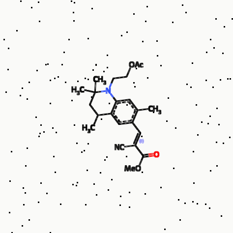 COC(=O)/C(C#N)=C/c1cc2c(cc1C)N(CCOC(C)=O)C(C)(C)CC2C